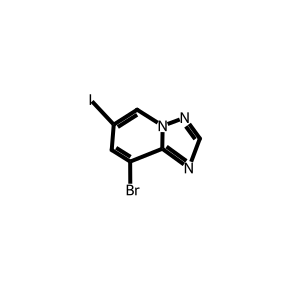 Brc1cc(I)cn2ncnc12